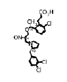 C[C@@H](OC[C@@H](CN1CCC[C@H]1Cc1ccc(Cl)c(Cl)c1)N=O)c1cccc(Cl)c1CCC(=O)O